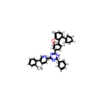 N#Cc1ccccc1-c1ccc(-c2nc(-c3ccccc3)nc(-c3ccc4c(c3)oc3cccc(-c5ccccc5)c34)n2)nc1